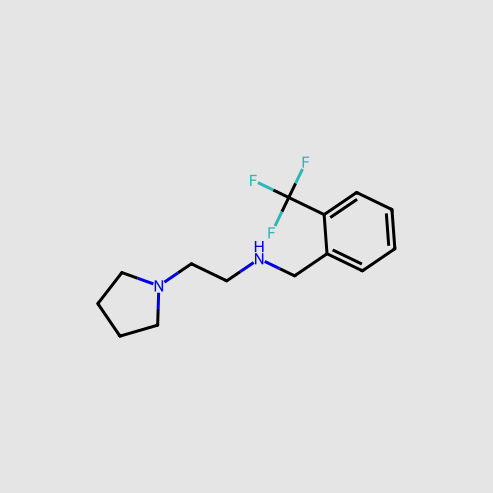 FC(F)(F)c1ccccc1CNCCN1CCCC1